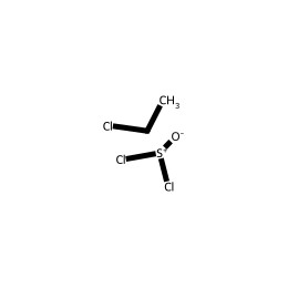 CCCl.[O-][S+](Cl)Cl